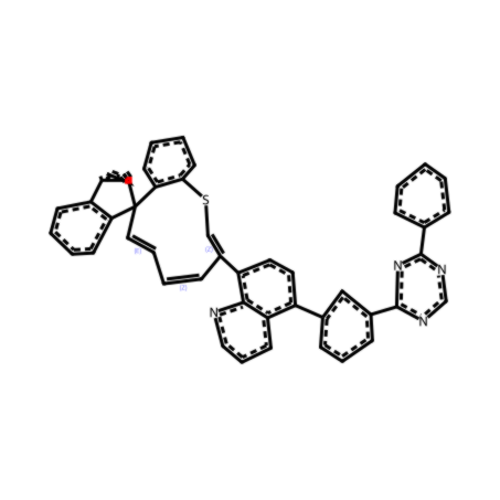 C1=C\C(c2ccc(-c3cccc(-c4ncnc(-c5ccccc5)n4)c3)c3cccnc23)=C\Sc2ccccc2C2(/C=C/1)c1ccccc1-c1ccccc12